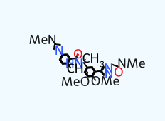 CNC(=O)Cn1cc(-c2cc([C@@H](C)NC(=O)c3cc(N4CC(NC)C4)ccc3C)cc(OC)c2OC)cn1